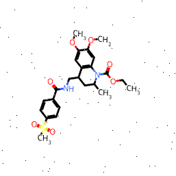 CCOC(=O)N1c2cc(OC)c(OC)cc2C(CNC(=O)c2ccc(S(C)(=O)=O)cc2)CC1C